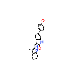 COc1ccc(-c2ccc3c(c2)NC(=O)/C3=C\c2[nH]c3c(c2C)CCCC3)cc1